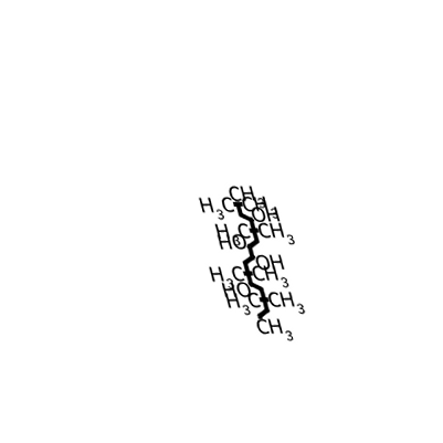 CCCC(C)(C)CC(O)C(C)(C)CC(O)C(O)CC(C)(C)C(O)CC(C)(C)C